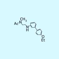 CCOc1ccc(-c2cccc(NCCN(C)C(C)=O)c2)cc1